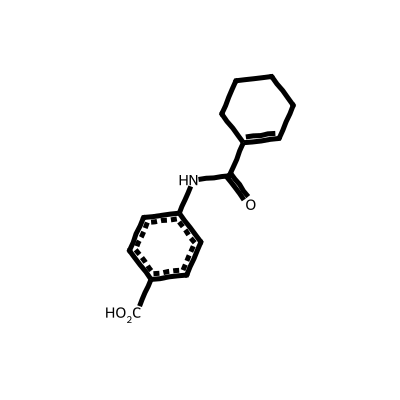 O=C(Nc1ccc(C(=O)O)cc1)C1=CCCCC1